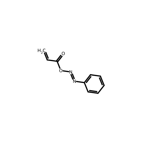 C=CC(=O)ON=Nc1ccccc1